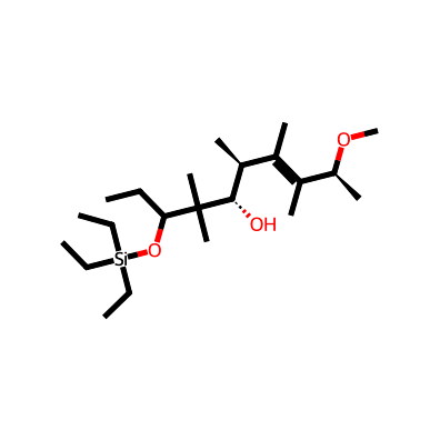 CCC(O[Si](CC)(CC)CC)C(C)(C)[C@@H](O)[C@@H](C)/C(C)=C(\C)[C@H](C)OC